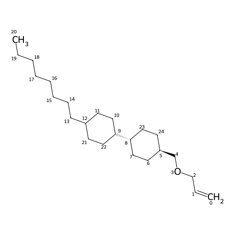 C=CCOC[C@H]1CC[C@H](C2CCC(CCCCCCCC)CC2)CC1